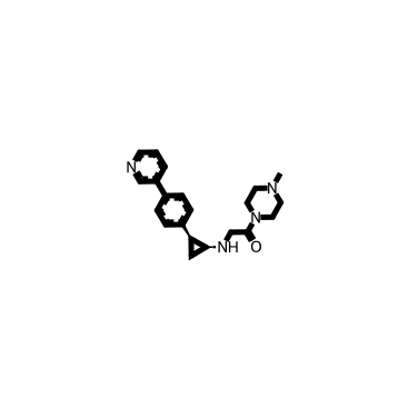 CN1CCN(C(=O)CN[C@@H]2C[C@H]2c2ccc(-c3cccnc3)cc2)CC1